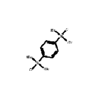 CC(C)(C)[Si](Cl)(c1ccc([Si](Cl)(C(C)(C)C)C(C)(C)C)cc1)C(C)(C)C